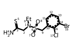 CCN(CC(N)=S)S(=O)(=O)Cc1cccc(Br)c1Cl